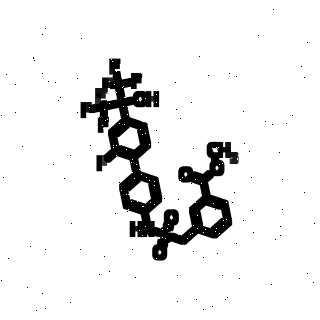 COC(=O)c1cccc(CS(=O)(=O)Nc2ccc(-c3ccc(C(O)(C(F)(F)F)C(F)(F)F)cc3F)cc2)c1